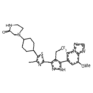 COc1cc(-c2[nH]nc(-c3nc(C)c(C4CCC(N5CCNC(=O)C5)CC4)s3)c2CC(F)(F)F)cn2ncnc12